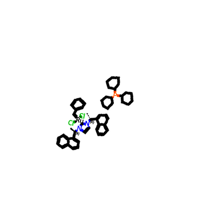 C1CCC(P(C2CCCCC2)C2CCCCC2)CC1.C[C@H](c1cccc2ccccc12)n1ccn([C@H](C)c2cccc3ccccc23)[c]1=[Ru]([Cl])([Cl])=[CH]c1ccccc1